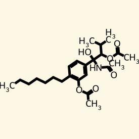 CCCCCCCc1ccc(C(O)(NC(C)=O)C(OC(C)=O)C(C)C)cc1OC(C)=O